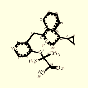 CC(C)(Oc1ccncc1Cc1ccc(C2CC2)c2ccccc12)C(=O)O